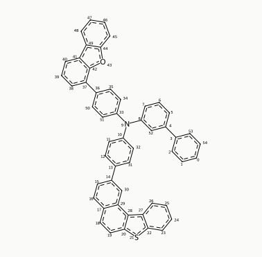 c1ccc(-c2cccc(N(c3ccc(-c4ccc5ccc6sc7ccccc7c6c5c4)cc3)c3ccc(-c4cccc5c4oc4ccccc45)cc3)c2)cc1